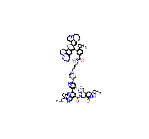 CCCc1cc(C)[nH]c(=O)c1CNC(=O)c1cc(-c2ccc(N3CCN(CCCCNC(=O)c4ccc(C)c(C5=c6cc7c8c(c6Oc6c5cc5c9c6CCCN9CCCC5)CCC[N+]=8CCCC7)c4)CC3)nc2)nc2c1cnn2C(C)C